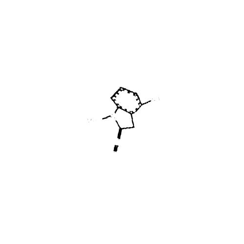 CON1C(=C=O)Cc2c(N)cccc21